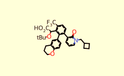 CC(C)(C)OC(C(=O)O)c1c(C(F)(F)F)ccc(-c2cccn(CC3CCC3)c2=O)c1-c1ccc2c(c1)CCCO2